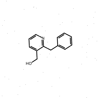 OCc1cccnc1Cc1ccccc1